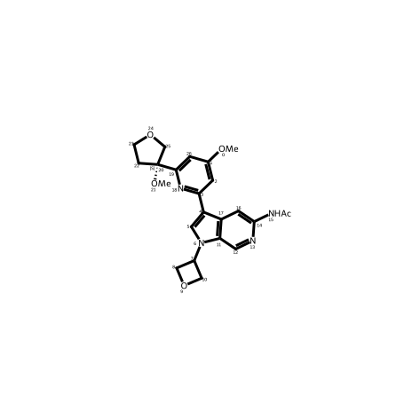 COc1cc(-c2cn(C3COC3)c3cnc(NC(C)=O)cc23)nc([C@@]2(OC)CCOC2)c1